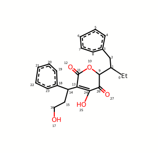 CCC(Cc1ccccc1)C1OC(=O)C(C(CCO)c2ccccc2)=C(O)C1=O